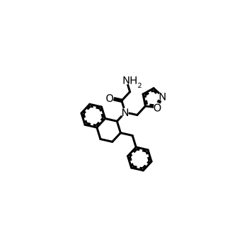 NCC(=O)N(Cc1ccno1)C1c2ccccc2CCC1Cc1ccccc1